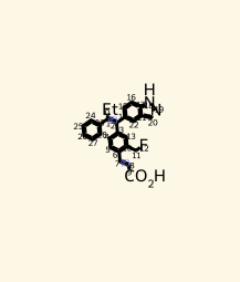 CC/C(=C(/c1ccc(/C=C/C(=O)O)c(CF)c1)c1ccc2[nH]ncc2c1)c1ccccc1